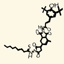 CCCCCCCCC(=S)NN1C(=O)CC(C2C=C(C)C3C(=O)N(NC(=O)CCc4cc(C(C)(C)C)c(O)c(C(C)(C)C)c4)C(=O)C3C2)C1=O